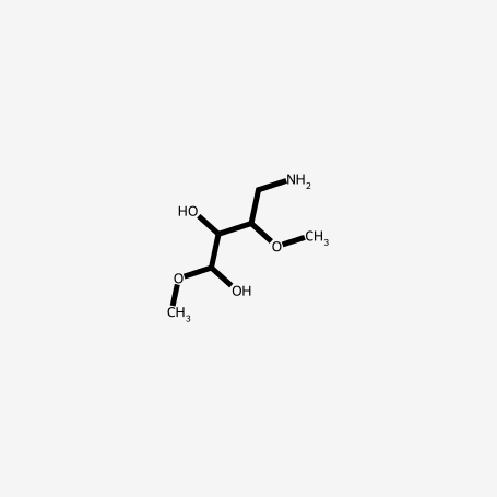 COC(O)C(O)C(CN)OC